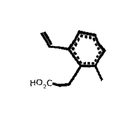 C=Cc1cccc(C)c1CC(=O)O